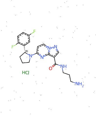 Cl.NCCCNC(=O)c1cnn2ccc(N3CCC[C@@H]3c3cc(F)ccc3F)nc12